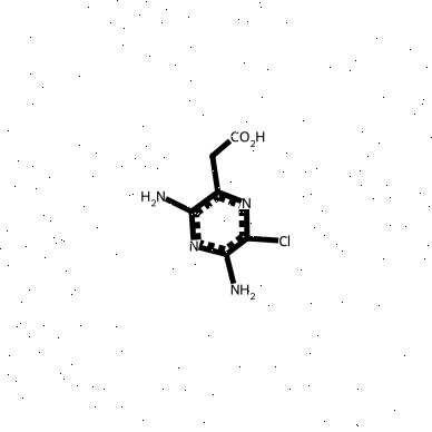 Nc1nc(N)c(CC(=O)O)nc1Cl